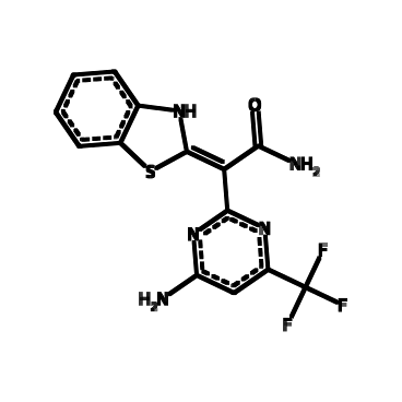 NC(=O)/C(=C1\Nc2ccccc2S1)c1nc(N)cc(C(F)(F)F)n1